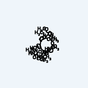 CCn1c(-c2cnccc2COC)c2c3cc(ccc31)-c1cc(O)cc(c1)C[C@H](NC(=O)[C@H](C(C)C)N(C)c1cnc(N)[nH]c1=O)C(=O)N1CCC[C@@](C)(N1)C(=O)OCC(C)(C)C2